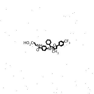 Cc1cc(-c2ccc(C(F)(F)F)cc2)oc1C(Nc1ccc(C(=O)NCCC(=O)O)cc1)C1CCCCC1